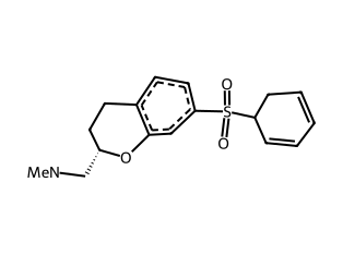 CNC[C@@H]1CCc2ccc(S(=O)(=O)C3C=CC=CC3)cc2O1